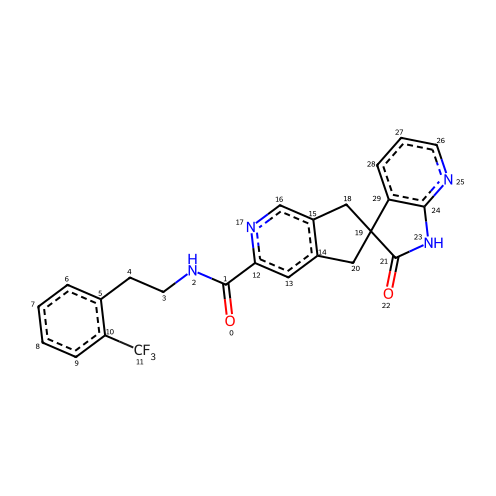 O=C(NCCc1ccccc1C(F)(F)F)c1cc2c(cn1)CC1(C2)C(=O)Nc2ncccc21